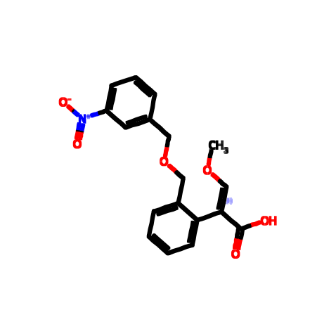 CO/C=C(/C(=O)O)c1ccccc1COCc1cccc([N+](=O)[O-])c1